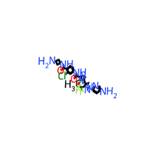 Cn1c(-c2cn(-c3ccc(N)cn3)nc2C(F)(F)F)cnc1C(=O)Nc1ccc(C(=O)NC2CC(N)C2)c(Cl)c1